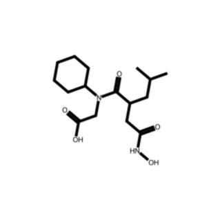 CC(C)CC(CC(=O)NO)C(=O)N(CC(=O)O)C1CCCCC1